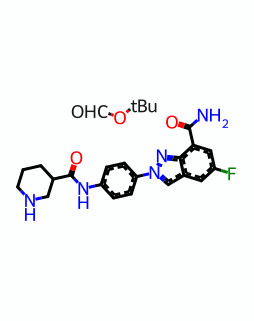 CC(C)(C)OC=O.NC(=O)c1cc(F)cc2cn(-c3ccc(NC(=O)C4CCCNC4)cc3)nc12